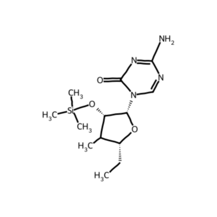 CC[C@H]1O[C@@H](n2cnc(N)nc2=O)[C@@H](O[Si](C)(C)C)C1C